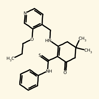 CCCOc1cnccc1CNC1=C(C(=S)Nc2ccccc2)C(=O)CC(C)(C)C1